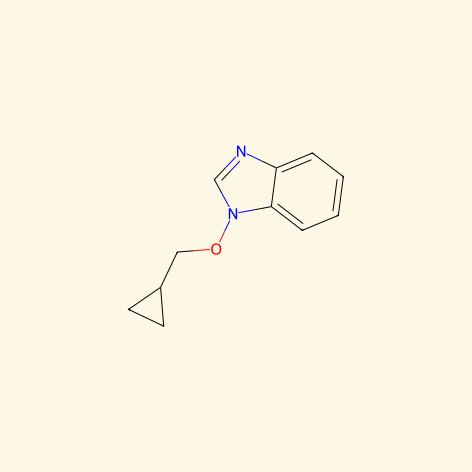 c1ccc2c(c1)ncn2OCC1CC1